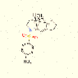 C=C1[C@]23CCCC2=C[C@@]12[C@H](CCN2S(=O)(=O)c1ccc([N+](=O)[O-])cc1)C3